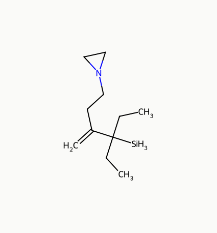 C=C(CCN1CC1)C([SiH3])(CC)CC